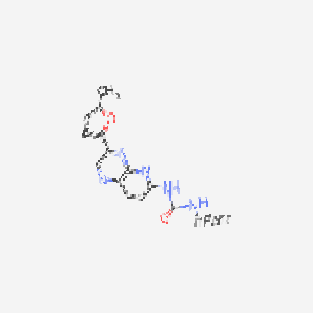 CCCCCNC(=O)Nc1ccc2ncc(-c3ccc(C)o3)nc2n1